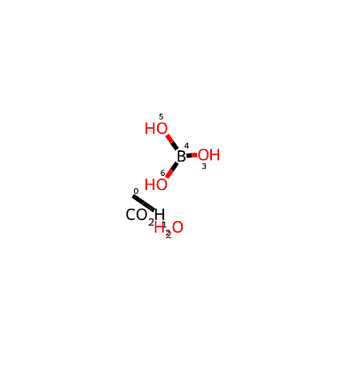 CC(=O)O.O.OB(O)O